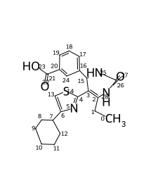 CCC1=C(c2nc(C3CCCCC3)cs2)C(c2cccc(C(=O)O)c2)NC(=O)N1